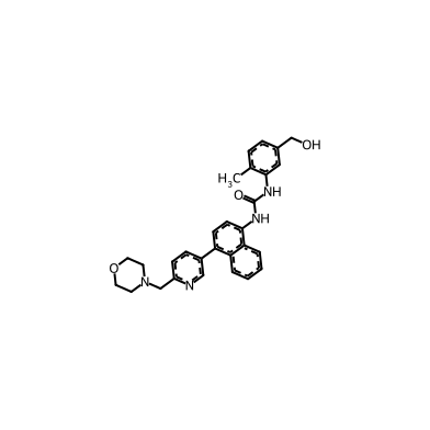 Cc1ccc(CO)cc1NC(=O)Nc1ccc(-c2ccc(CN3CCOCC3)nc2)c2ccccc12